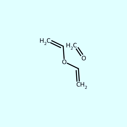 C=COC=C.C=O